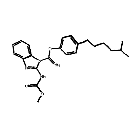 COC(=O)Nc1nc2ccccc2n1C(=N)Oc1ccc(CCCCC(C)C)cc1